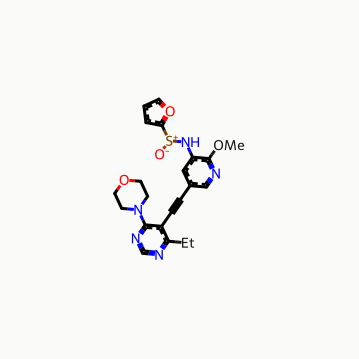 CCc1ncnc(N2CCOCC2)c1C#Cc1cnc(OC)c(N[S+]([O-])c2ccco2)c1